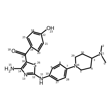 CN(C)C1CCN(c2ccc(Nc3nc(N)c(C(=O)c4ccc(O)cc4)s3)cc2)CC1